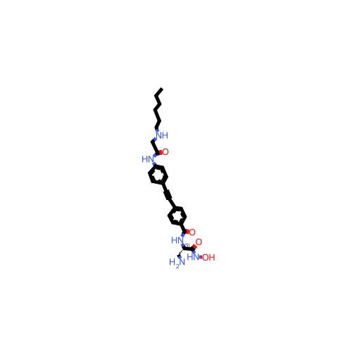 CCCCCCNCC(=O)Nc1ccc(C#Cc2ccc(C(=O)N[C@@H](CN)C(=O)NO)cc2)cc1